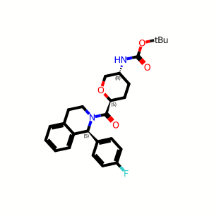 CC(C)(C)OC(=O)N[C@@H]1CC[C@@H](C(=O)N2CCc3ccccc3[C@@H]2c2ccc(F)cc2)OC1